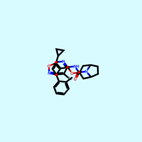 CCc1cccnc1NC(=O)N1C2CCC1CC(OCc1c(-c3ccccc3C)noc1C1CC1)C2